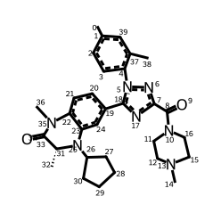 Cc1ccc(-n2nc(C(=O)N3CCN(C)CC3)nc2-c2ccc3c(c2)N(C2CCCC2)[C@H](C)C(=O)N3C)c(C)c1